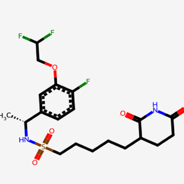 C[C@@H](NS(=O)(=O)CCCCCC1CCC(=O)NC1=O)c1ccc(F)c(OCC(F)F)c1